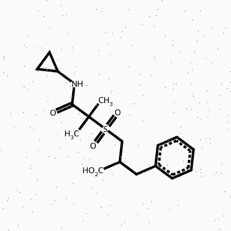 CC(C)(C(=O)NC1CC1)S(=O)(=O)CC(Cc1ccccc1)C(=O)O